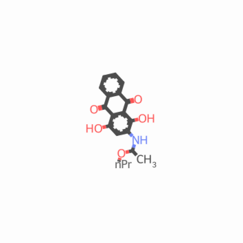 CCCOC(C)Nc1cc(O)c2c(c1O)C(=O)c1ccccc1C2=O